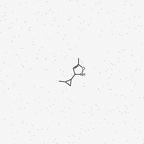 CC1=CC(C2CC2C)NO1